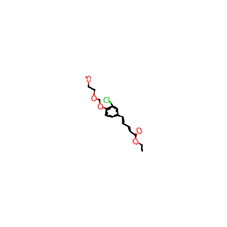 CCOC(=O)C=CC=Cc1ccc(OCOCCOC)c(Cl)c1